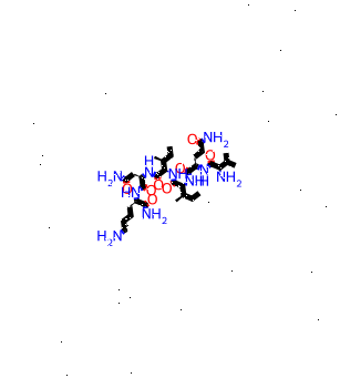 CC[C@@H](C)[C@H](NC(=O)[C@H](CCC(N)=O)NC(=O)[C@@H](N)C(C)C)C(=O)N[C@H](C(=O)N[C@@H](CC(N)=O)C(=O)N[C@@H](CCCCN)C(N)=O)[C@@H](C)CC